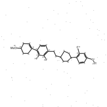 CCOc1ccc(C2CCC(CCc3ccc(C4=CCC(OC)CC4)c(F)c3F)CC2)c(F)c1